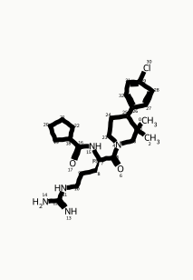 CC1(C)CN(C(=O)[C@@H](CCCNC(=N)N)NC(=O)C2CCCC2)CCC1c1ccc(Cl)cc1